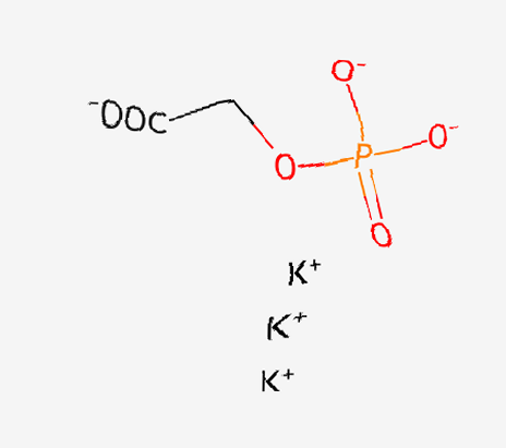 O=C([O-])COP(=O)([O-])[O-].[K+].[K+].[K+]